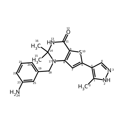 Cc1[nH]ncc1-c1cc2c(s1)C(=O)NC(C)(C)N2Cc1cccc(N)c1